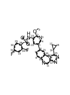 COc1ncc(-c2ccc3ncc4nnc(C5CC5)n4c3c2)cc1NS(=O)(=O)c1ccc(F)cc1F